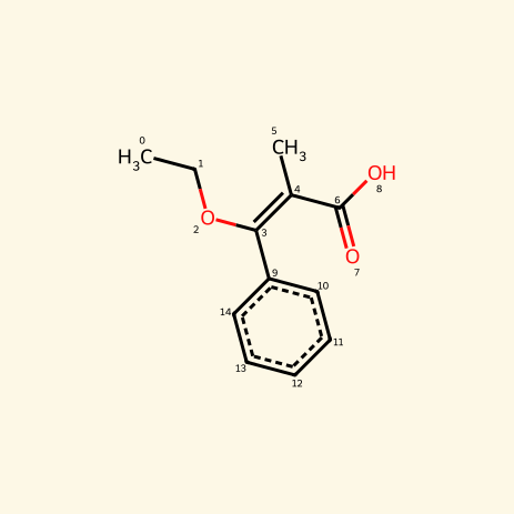 CCOC(=C(C)C(=O)O)c1ccccc1